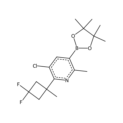 Cc1nc(C2(C)CC(F)(F)C2)c(Cl)cc1B1OC(C)(C)C(C)(C)O1